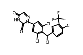 O=c1cnn(-c2cc(Cl)c(C(Cl)c3ccc(Cl)c(C(F)(F)F)c3)c(Cl)c2)c(=O)[nH]1